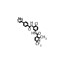 Cc1nc(C(F)(F)F)ccc1C(=O)Nc1ccc(Cl)c(NC(=O)c2ccc(-c3csnn3)cc2)c1